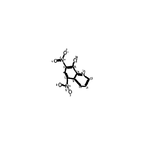 O=[N+]([O-])c1cc([N+](=O)[O-])c2cccnc2c1Cl